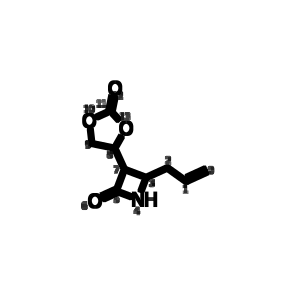 C=CCC1NC(=O)C1C1COC(=O)O1